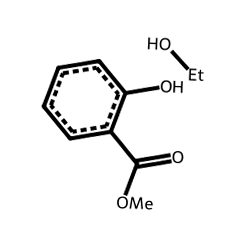 CCO.COC(=O)c1ccccc1O